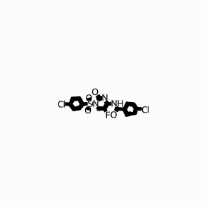 O=C(Nc1nc(=O)n(S(=O)(=O)c2ccc(Cl)cc2)cc1F)c1ccc(Cl)cc1